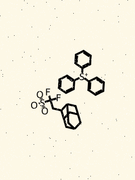 O=S(=O)([O-])C(F)(F)CC1C2CC3CC(C2)CC1C3.c1ccc([S+](c2ccccc2)c2ccccc2)cc1